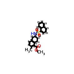 COC(=O)c1c(C)ccc2c1CCC(NS(=O)(=O)c1cccc3ccccc13)C2